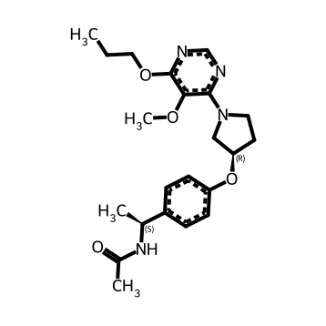 CCCOc1ncnc(N2CC[C@@H](Oc3ccc([C@H](C)NC(C)=O)cc3)C2)c1OC